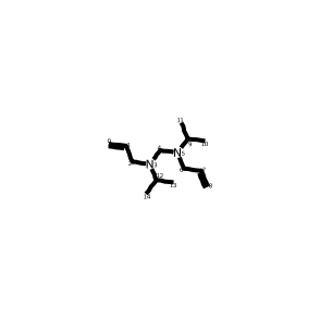 C=CCN(CN(CC=C)C(C)C)C(C)C